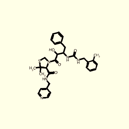 Cc1ccccc1CNC(=O)NC(Cc1ccccc1)C(O)C(=O)N1CSC(C)(C)C1C(=O)NCc1ccncc1